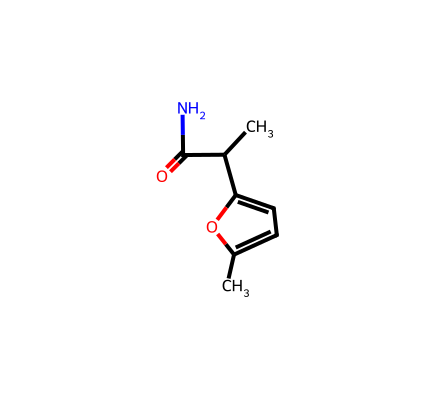 Cc1ccc(C(C)C(N)=O)o1